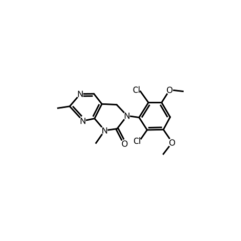 COc1cc(OC)c(Cl)c(N2Cc3cnc(C)nc3N(C)C2=O)c1Cl